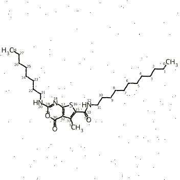 CCCCCCCCCCCCNC(=O)c1sc2nc(NCCCCCCCC)oc(=O)c2c1C